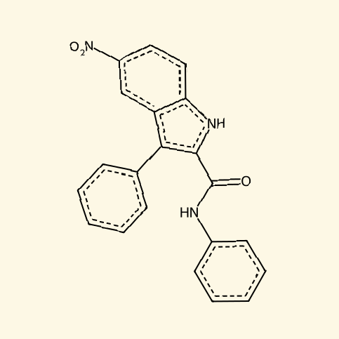 O=C(Nc1ccccc1)c1[nH]c2ccc([N+](=O)[O-])cc2c1-c1ccccc1